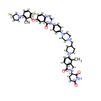 Cc1c(N2CCC(CN3CCN(c4ccc(-n5cnc6ccc(Oc7c(F)ccc(N8CC[C@@H](F)C8)c7C#N)cc6c5=O)cc4)CC3)CC2)ccc2c1CN(C1CCC(=O)NC1=O)C2=O